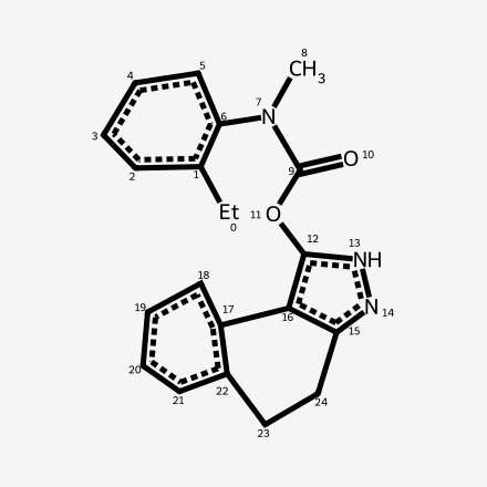 CCc1ccccc1N(C)C(=O)Oc1[nH]nc2c1-c1ccccc1CC2